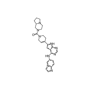 O=C(N1CC=C(c2cc3c(Nc4ccc5nccn5c4)ncnc3[nH]2)CC1)N1CCN2CCCC2C1